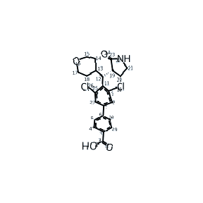 O=C(O)c1ccc(-c2cc(Cl)c(C(C3CCOCC3)[C@H]3CCNC3=O)c(Cl)c2)cc1